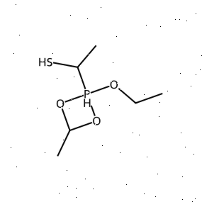 CCO[PH]1(C(C)S)OC(C)O1